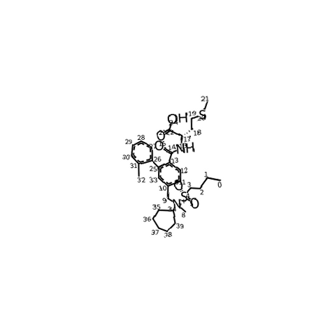 CCCCS(=O)(=O)[N+](C)(Cc1ccc(C(=O)N[C@@H](CCSC)C(=O)O)c(-c2ccccc2C)c1)C1CCCCC1